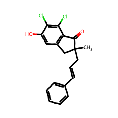 CC1(C/C=C/c2ccccc2)Cc2cc(O)c(Cl)c(Cl)c2C1=O